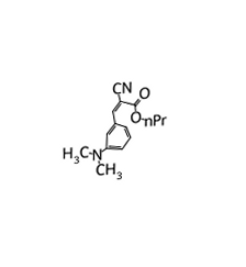 CCCOC(=O)C(C#N)=Cc1cccc(N(C)C)c1